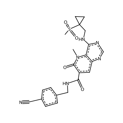 Cn1c(=O)c(C(=O)NCc2ccc(C#N)cc2)cc2ncnc(NCC3(S(C)(=O)=O)CC3)c21